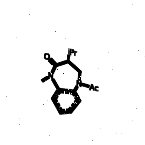 CC(=O)N1C[C@H](C(C)C)C(=O)N(C)c2ccccc21